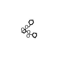 O=C(Oc1ccoc1OCc1ccccc1)c1ccccc1